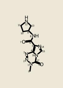 Cn1nnc2c(C(=O)NC3CCNC3)ncn2c1=O